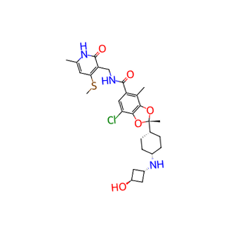 CSc1cc(C)[nH]c(=O)c1CNC(=O)c1cc(Cl)c2c(c1C)O[C@](C)([C@H]1CC[C@@H](N[C@H]3C[C@H](O)C3)CC1)O2